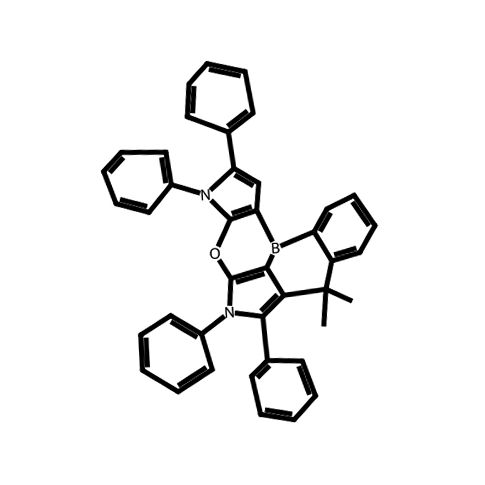 CC1(C)c2ccccc2B2c3cc(-c4ccccc4)n(-c4ccccc4)c3Oc3c2c1c(-c1ccccc1)n3-c1ccccc1